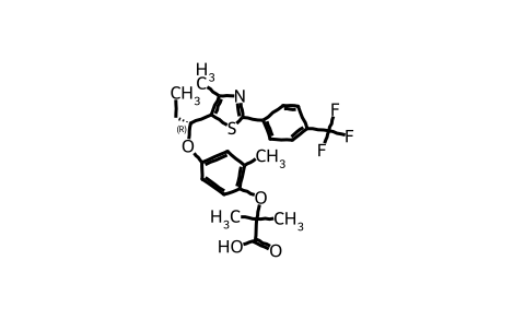 CC[C@@H](Oc1ccc(OC(C)(C)C(=O)O)c(C)c1)c1sc(-c2ccc(C(F)(F)F)cc2)nc1C